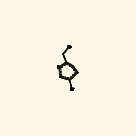 [O]Cc1ccc(Br)cn1